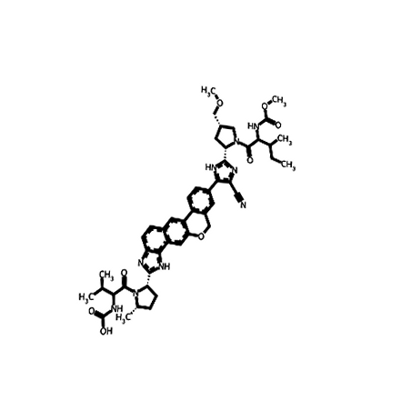 CCC(C)C(NC(=O)OC)C(=O)N1C[C@@H](COC)C[C@H]1c1nc(C#N)c(-c2ccc3c(c2)COc2cc4c(ccc5nc([C@@H]6CC[C@H](C)N6C(=O)C(NC(=O)O)C(C)C)[nH]c54)cc2-3)[nH]1